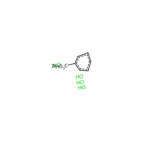 Cl.Cl.Cl.Cl.O=C(O)c1ccccc1.[Zr]